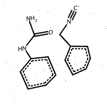 NC(=O)Nc1ccccc1.[C-]#[N+]Cc1ccccc1